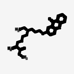 C=C(COCCN(CC)CCCOc1ccc2sc3ccccc3c(=O)c2c1)C(=O)OC